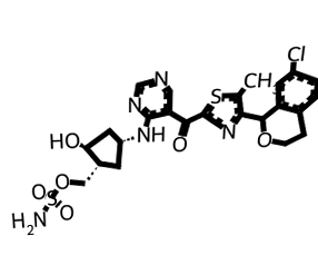 Cc1sc(C(=O)c2cncnc2N[C@@H]2C[C@H](COS(N)(=O)=O)[C@@H](O)C2)nc1C1OCCc2ccc(Cl)cc21